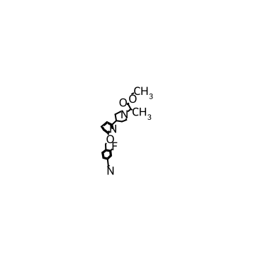 CCOC(=O)C(C)N1CCC(c2cccc(OCc3ccc(C#N)cc3F)n2)CC1